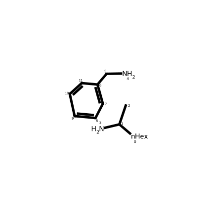 CCCCCCC(C)N.NCc1ccccc1